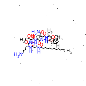 CCCCCCCCCCCC(=O)NCCC(=O)N[C@@H](CCCCN)C(=O)N[C@H](C(=O)N[C@@H](C)C(=O)N[C@@H](CC(N)=O)C(=O)N[C@@H](C)B1OC2C[C@@H]3C[C@@H](C3(C)C)[C@]2(C)O1)[C@@H](C)O